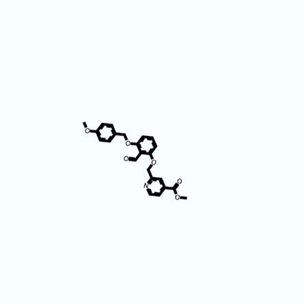 COC(=O)c1ccnc(COc2cccc(OCc3ccc(OC)cc3)c2C=O)c1